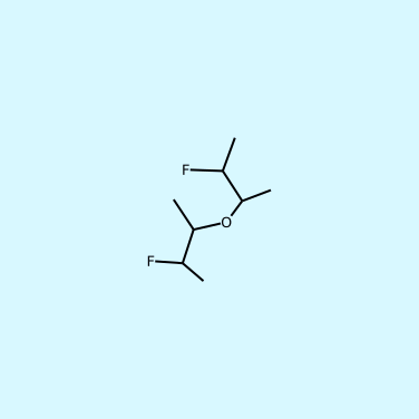 CC(F)C(C)OC(C)C(C)F